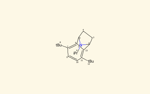 CC(C)N1C2CCC1c1c(C(C)(C)C)ccc(C(C)(C)C)c12